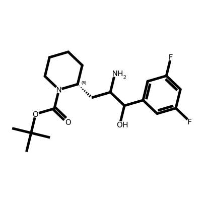 CC(C)(C)OC(=O)N1CCCC[C@@H]1CC(N)C(O)c1cc(F)cc(F)c1